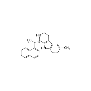 Cc1ccc2[nH]c3c(c2c1)CCN[C@H]3C(C)c1cccc2ccccc12